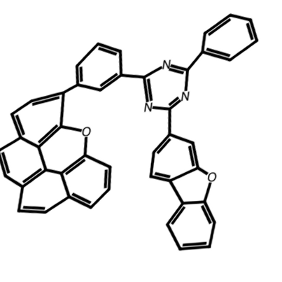 c1ccc(-c2nc(-c3cccc(-c4ccc5ccc6ccc7cccc8c7c6c5c4O8)c3)nc(-c3ccc4c(c3)oc3ccccc34)n2)cc1